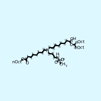 CCCCCCCCOC(=O)CCCCCCCN(CCCCCCCC(O)OC(CCCCCCCC)CCCCCCCC)CCCNS(C)(=O)=O